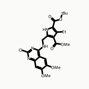 CCc1c(C(=O)OC(C)(C)C)[nH]c(CNc2nc(Cl)nc3cc(OC)c(OC)cc23)c1C(=O)OC